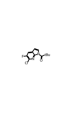 CC(C)(C)C(=O)n1ccc2cc(F)c(Cl)nc21